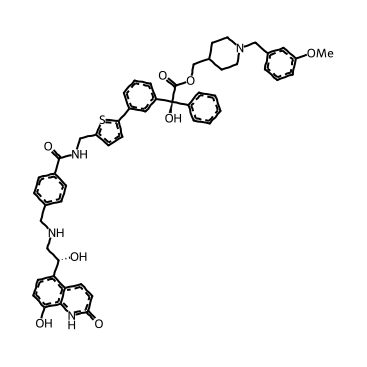 COc1cccc(CN2CCC(COC(=O)[C@](O)(c3ccccc3)c3cccc(-c4ccc(CNC(=O)c5ccc(CNC[C@H](O)c6ccc(O)c7[nH]c(=O)ccc67)cc5)s4)c3)CC2)c1